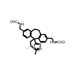 Cc1nnc(C2(C[C@@H](C)N)c3ccc(CNC=O)cc3CCc3cc(CNC=O)ccc32)o1